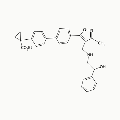 CCOC(=O)C1(c2ccc(-c3ccc(-c4onc(C)c4CNCC(O)c4ccccc4)cc3)cc2)CC1